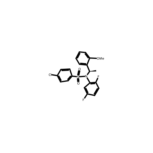 COc1ccccc1[C@@H](C)N(c1cc(F)ccc1F)S(=O)(=O)c1ccc(Cl)cc1